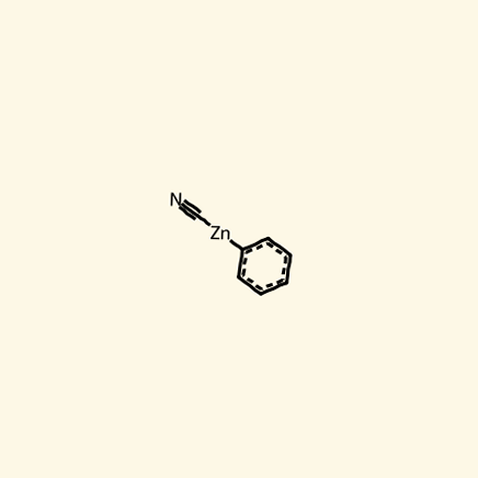 N#[C][Zn][c]1ccccc1